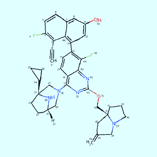 C#Cc1c(F)ccc2cc(O)cc(-c3ccc4c(N5C[C@@H]6CC[C@](C7CC7)(C5)N6)nc(OC[C@@]56CCCN5CC(=C)C6)nc4c3F)c12